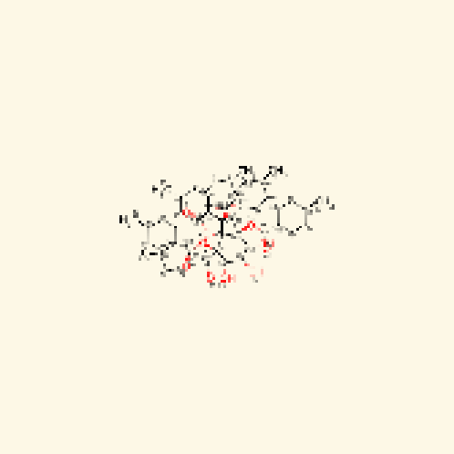 C[C@H]1CC[C@H](C(=O)O[C@@]2(C(=O)[C@H]3CC[C@H](C)CC3)[C@@](OC(=O)[C@H]3CC[C@H](C)CC3)(C(=O)[C@H]3CC[C@H](C)CC3)[C@@H](O)[C@H](O)[C@@H](O)[C@@]2(OC(=O)[C@H]2CC[C@H](C)CC2)C(=O)[C@H]2CC[C@H](C)CC2)CC1